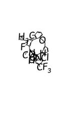 Cc1cccc2c1-c1cc(C3CC3)c(F)c(c1)[C@@H](CC(=O)O)NC(=O)[C@@H](n1ccc(C(F)(F)F)cc1=O)c1cc(ccc1Cl)CO2